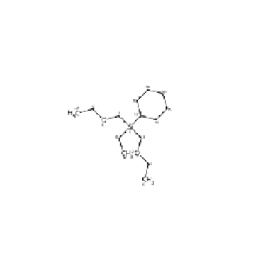 CCOC[Si](CC)(COCC)C1CCCCC1